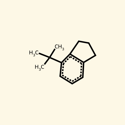 CC(C)(C)c1cccc2c1CCC2